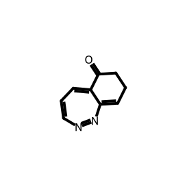 O=C1CCC=C2N=NC=CC=C12